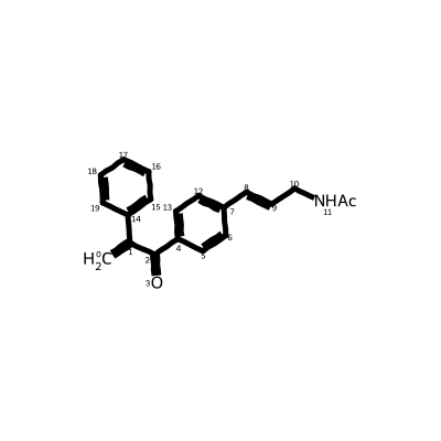 C=C(C(=O)c1ccc(/C=C/CNC(C)=O)cc1)c1ccccc1